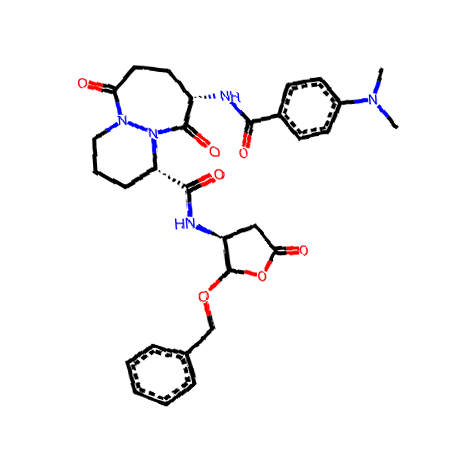 CN(C)c1ccc(C(=O)N[C@H]2CCC(=O)N3CCC[C@@H](C(=O)N[C@H]4CC(=O)OC4OCc4ccccc4)N3C2=O)cc1